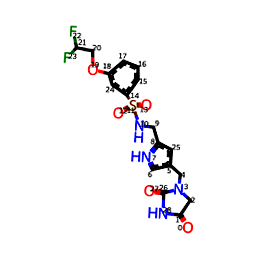 O=C1CN(Cc2c[nH]c(CNS(=O)(=O)c3cccc(OCC(F)F)c3)c2)C(=O)N1